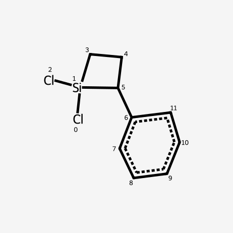 Cl[Si]1(Cl)CCC1c1ccccc1